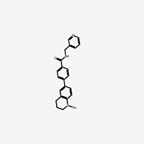 CC(=O)N1CCCc2cc(-c3ccc(C(=O)NCc4cccnc4)cc3)ccc21